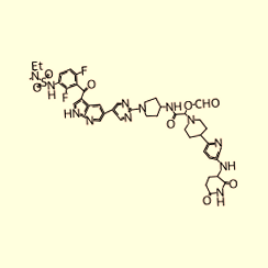 CCN(C)S(=O)(=O)Nc1ccc(F)c(C(=O)c2c[nH]c3ncc(-c4cnc(N5CCC(NC(=O)C(OC=O)N6CCC(c7ccc(NC8CCC(=O)NC8=O)cn7)CC6)CC5)nc4)cc23)c1F